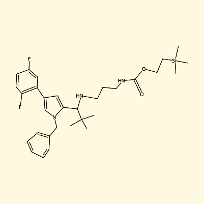 CC(C)(C)C(NCCCNC(=O)OCC[Si](C)(C)C)c1cc(-c2cc(F)ccc2F)cn1Cc1ccccc1